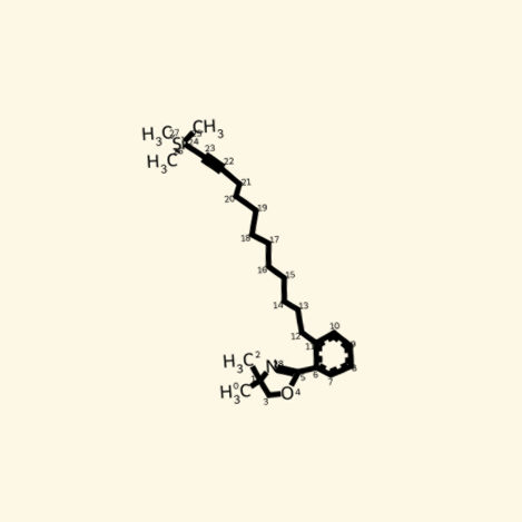 CC1(C)COC(c2ccccc2CCCCCCCCCCC#C[Si](C)(C)C)=N1